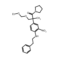 CCOCOCC(C)(C(=O)N1CCCC1)c1ccc(NCCc2ccccc2)c([N+](=O)[O-])c1